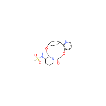 CS(=O)(=O)NC1CCCN2C(=O)COc3cccnc3C3CCC(CC3)OCC12